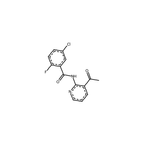 CC(=O)c1cccnc1NC(=O)c1cc(Cl)ccc1F